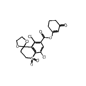 O=C1C=C(OC(=O)c2cc(Cl)c3c(c2Cl)C2(CCS3(=O)=O)OCCO2)CCC1